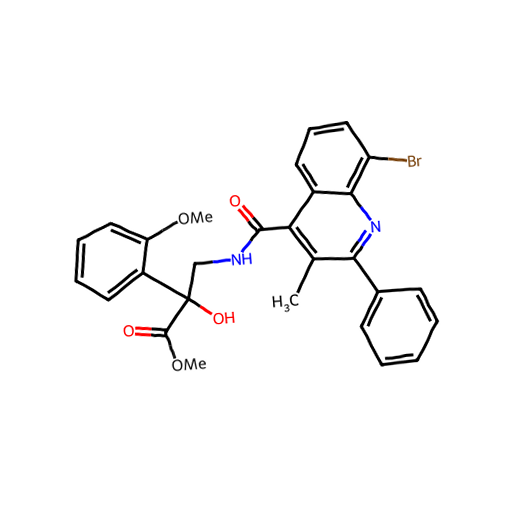 COC(=O)C(O)(CNC(=O)c1c(C)c(-c2ccccc2)nc2c(Br)cccc12)c1ccccc1OC